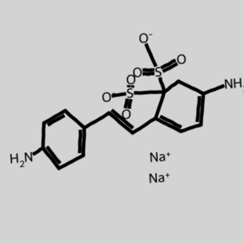 NC1=CC=C(C=Cc2ccc(N)cc2)C(S(=O)(=O)[O-])(S(=O)(=O)[O-])C1.[Na+].[Na+]